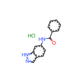 Cl.O=C(Nc1ccc2cn[nH]c2c1)c1ccccc1